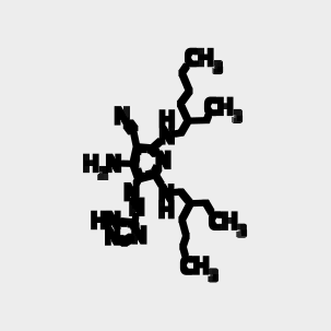 CCCCC(CC)CNc1nc(NCC(CC)CCCC)c(N=Nc2ncn[nH]2)c(N)c1C#N